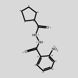 O=C(NNC(=O)C1CCCC1)c1ccccc1[N+](=O)[O-]